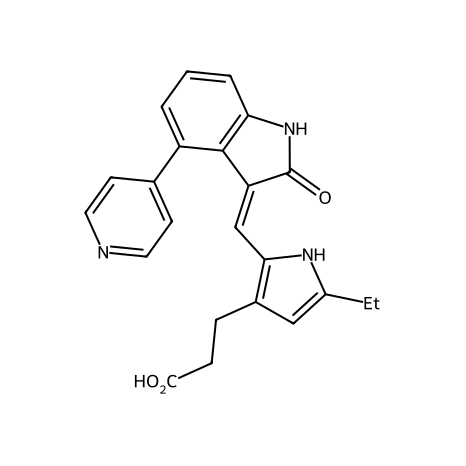 CCc1cc(CCC(=O)O)c(/C=C2\C(=O)Nc3cccc(-c4ccncc4)c32)[nH]1